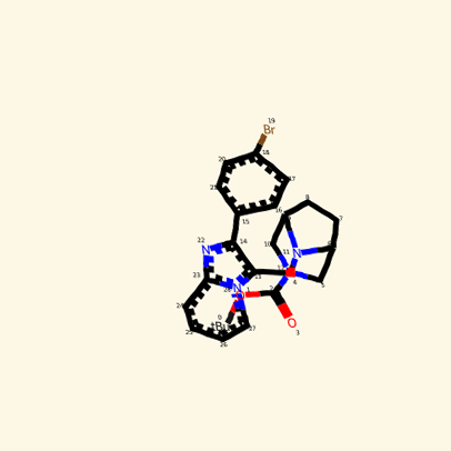 CC(C)(C)OC(=O)N1CC2CCC(C1)N2Cc1c(-c2ccc(Br)cc2)nc2ccccn12